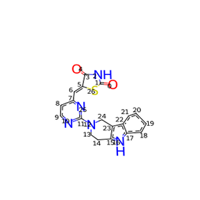 O=C1NC(=O)C(=Cc2ccnc(N3CCc4[nH]c5ccccc5c4C3)n2)S1